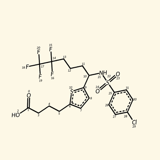 O=C(O)CCCc1ccc(C(CCCC(F)(F)C(F)(F)F)NS(=O)(=O)c2ccc(Cl)cc2)s1